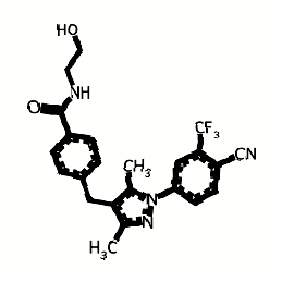 Cc1nn(-c2ccc(C#N)c(C(F)(F)F)c2)c(C)c1Cc1ccc(C(=O)NCCO)cc1